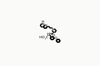 O=C(O)C[C@H](NC(=O)[C@@H]1CCCN(CCCc2ccc3c(n2)NCCC3)C1)c1cccc(Oc2ccccc2)c1